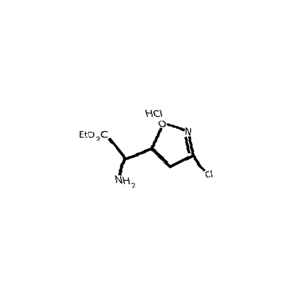 CCOC(=O)C(N)C1CC(Cl)=NO1.Cl